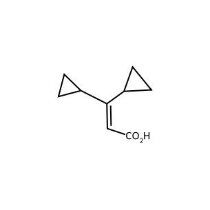 O=C(O)C=C(C1CC1)C1CC1